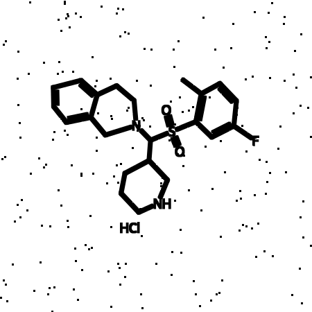 Cc1ccc(F)cc1S(=O)(=O)C(C1CCCNC1)N1CCc2ccccc2C1.Cl